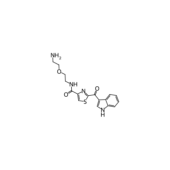 NCCOCCNC(=O)c1csc(C(=O)c2c[nH]c3ccccc23)n1